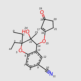 CCC1(CC)Oc2ccc(C#N)cc2C(OC2=CC(=O)CC2)C1(C)O